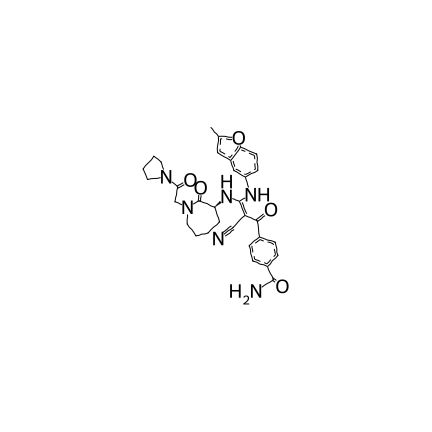 Cc1cc2cc(N/C(N[C@H]3CCCCN(CC(=O)N4CCCC4)C3=O)=C(/C#N)C(=O)c3ccc(C(N)=O)cc3)ccc2o1